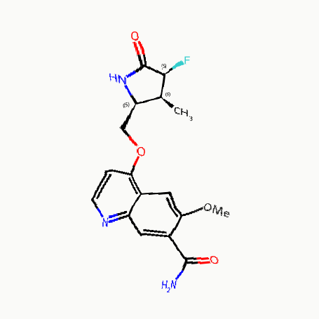 COc1cc2c(OC[C@H]3NC(=O)[C@@H](F)[C@H]3C)ccnc2cc1C(N)=O